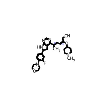 C/C(=C\C=C(/CC#N)OC1CCN(C)CC1)c1ncnc2c1CC(c1ccc(N3CCOCC3)c(F)c1)N2